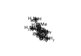 CCCC[C@H](NC(=O)[C@@H](NC(=O)[C@H](CC(=O)O)NC(=O)[C@H](CCC(N)=O)NC(=O)[C@H](CC(C)C)NC(=O)[C@@H](N)CC(C)C)[C@@H](C)CC)C(=O)N[C@H](CCCNC(=N)N)C(=O)N[C@@H](CCCCNC(=N)N)C(=O)NC